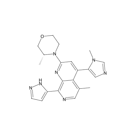 Cc1cnc(-c2ccn[nH]2)c2nc(N3CCOC[C@H]3C)cc(-c3cncn3C)c12